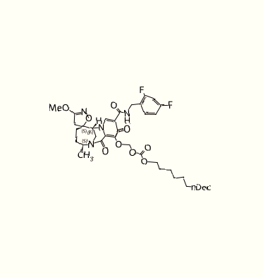 CCCCCCCCCCCCCCCCOC(=O)OCOc1c2n(cc(C(=O)NCc3ccc(F)cc3F)c1=O)[C@@H]1CN(C2=O)[C@@H](C)CC[C@]12CC(OC)=NO2